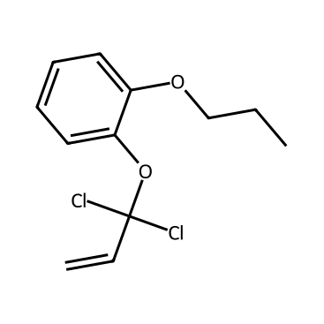 C=CC(Cl)(Cl)Oc1ccccc1OCCC